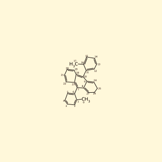 Cc1ccccc1-c1c2c(c(-c3ccccc3C)c3ccccc13)=CCCC=2